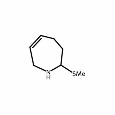 CSC1CCC=CCN1